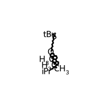 CC(C)CCCC(C)C1CCC2C3CC=C4C[C@@H](OCCCCCCCCSC(C)(C)C)CCC4(C)C3CCC12C